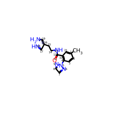 Cc1ccc(-n2nccn2)c(C(=O)NCC/C(C=N)=C/N)c1